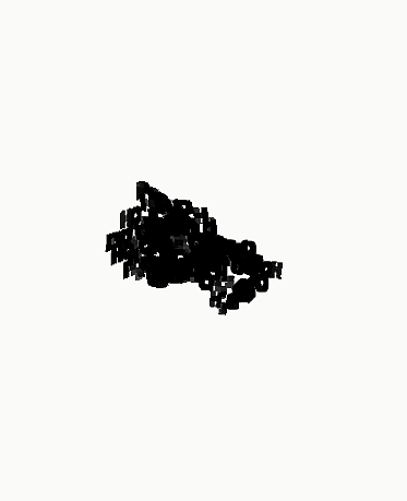 CCOC(=O)C(C(CC(C)(C)C1C(=O)OC(=O)C1C)C(=O)O)C(C)(C)CC(C(=O)O)C(C(=O)NCC(C)C)C(C)(C)CCC1C(=O)N(CC(C)C)C(=O)C1C(C)(C)CC(C(=O)O)C(C(=O)OCCNS(=O)(=O)c1cc(C(=O)c2ccc(C)cc2)c(O)cc1OC)C(C)(C)CC